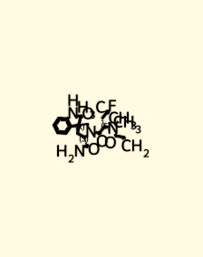 C=CC(=O)N(C)[C@@H](CC(C)(C)F)C(=O)N1C[C@]2(C[C@H]1C(N)=O)C(=O)Nc1ccccc12